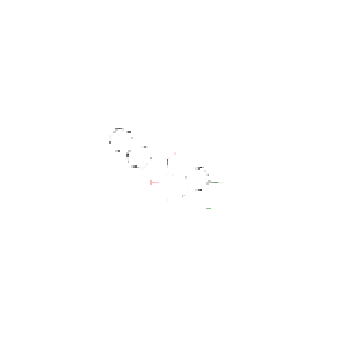 Cc1c(NC(=O)c2cc3ccccc3cc2O)ccc(Cl)c1Cl